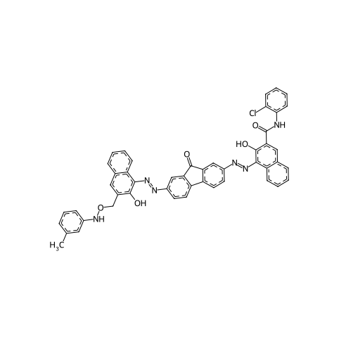 Cc1cccc(NOCc2cc3ccccc3c(N=Nc3ccc4c(c3)C(=O)c3cc(N=Nc5c(O)c(C(=O)Nc6ccccc6Cl)cc6ccccc56)ccc3-4)c2O)c1